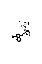 O=C(O)CSc1ccncc1CCc1ccc(C2CC2)c2ccccc12